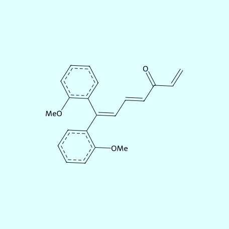 C=CC(=O)C=CC=C(c1ccccc1OC)c1ccccc1OC